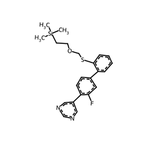 C[Si](C)(C)CCOCSc1ccccc1-c1ccc(-c2cncnc2)c(F)c1